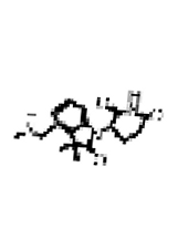 CNCc1cccc2c1C(C)(C)C(=O)N2C1CCC(=O)NC1=O